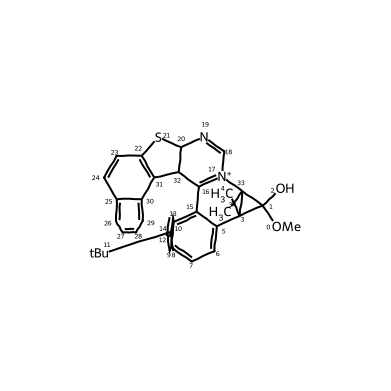 COC1(O)C2(C)c3ccc4cc(C(C)(C)C)ccc4c3C3=[N+](C=NC4Sc5ccc6ccccc6c5C34)C12C